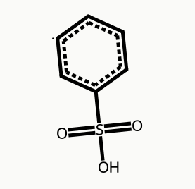 O=S(=O)(O)c1c[c]ccc1